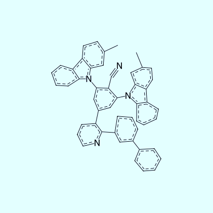 Cc1ccc2c3ccccc3n(-c3cc(-c4cccnc4-c4cccc(-c5ccccc5)c4)cc(-n4c5ccccc5c5ccc(C)cc54)c3C#N)c2c1